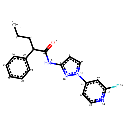 CCCC(C(=O)Nc1ccn(-c2ccnc(F)c2)n1)c1ccccc1